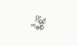 OCc1ccn(-c2nccc([C@]34CC[C@H](CC3)c3cc(-c5c(F)cccc5F)nnc34)n2)n1